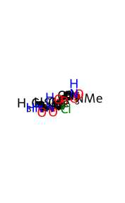 CNS(=O)(=O)NC1CCC(C2(C)Oc3c(Cl)cc(C(=O)NCc4c(SC)cc(C)[nH]c4=O)c(C)c3O2)CC1